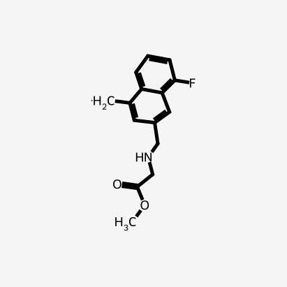 [CH2]c1cc(CNCC(=O)OC)cc2c(F)cccc12